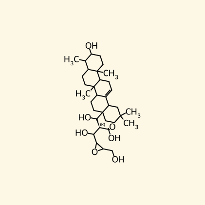 CC1C(O)CCC2(C)C1CCC1(C)C3CCC4(C(O)[C@@H](C(=O)O)C(O)C5OC5CO)CCC(C)(C)CC4C3=CCC12